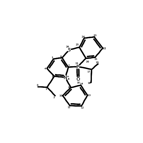 CC(C)c1ccc2c([n+]1-c1ccccc1)P(=O)(C(C)C)c1ccccc1S2